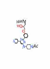 CNCC(O)COc1cccc(-c2nc(-c3ccncc3)cc(N(C)C3CCN(C(C)=O)CC3)n2)c1